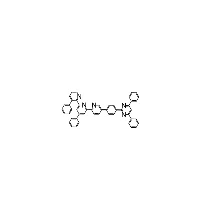 c1ccc(-c2cc(-c3ccc(-c4ccc(-c5nc(-c6ccccc6)cc(-c6ccccc6)n5)cc4)cn3)nc(-c3ncccc3-c3ccccc3)c2)cc1